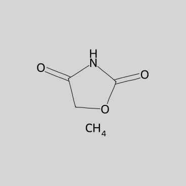 C.O=C1COC(=O)N1